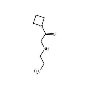 [CH2]CCNCC(=O)N1CCC1